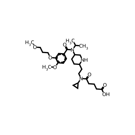 COCCCOc1cc(C(=O)N(C(C)C)C2CCC(CCN(C(=O)CCCC(=O)O)C3CC3)NC2)ccc1OC